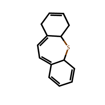 C1=CC2=CC=C3CC=CCC3SC2C=C1